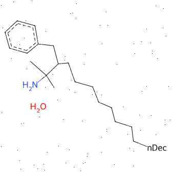 CCCCCCCCCCCCCCCCCCC(Cc1ccccc1)C(C)(C)N.O